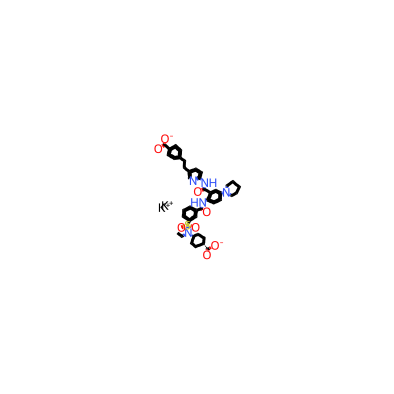 CCN([C@H]1CC[C@H](C(=O)[O-])CC1)S(=O)(=O)c1cccc(C(=O)Nc2ccc(N3CCCCC3)cc2C(=O)Nc2ccc(CCc3ccc(C(=O)[O-])cc3)cn2)c1.[K+].[K+]